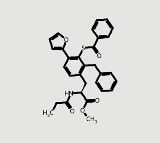 CCC(=O)N[C@@H](Cc1ccc(-c2ccco2)c(SC(=O)c2ccccc2)c1Cc1ccccc1)C(=O)OC